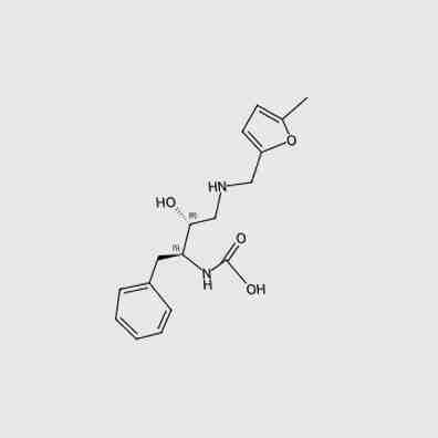 Cc1ccc(CNC[C@@H](O)[C@H](Cc2ccccc2)NC(=O)O)o1